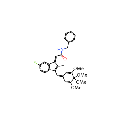 COC1=CC(=CC2=C(C)C(=CC(=O)NCc3ccccc3)c3cc(F)ccc32)C=C(OC)C1(OC)OC